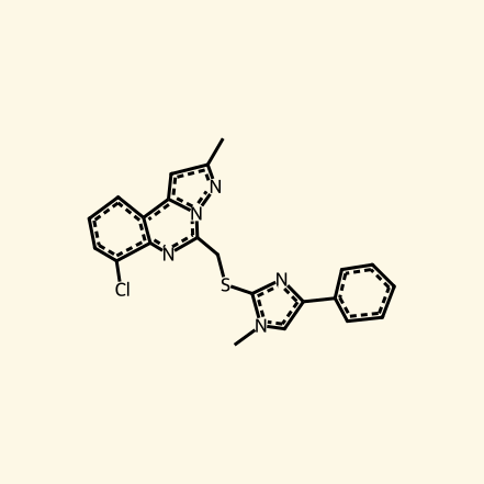 Cc1cc2c3cccc(Cl)c3nc(CSc3nc(-c4ccccc4)cn3C)n2n1